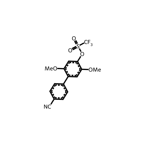 COc1cc(-c2ccc(C#N)cc2)c(OC)cc1OS(=O)(=O)C(F)(F)F